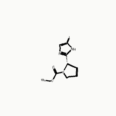 CC(C)(C)OC(=O)N1CCC[C@H]1c1ncc(I)[nH]1